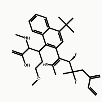 C=CC(=C)CC(C)(F)[C@H](F)/C(=C(\C)S)c1cc(C(C)(C)C)c2ccccc2c1C(CCOC)C(NC)C(=C)O